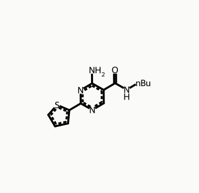 CCCCNC(=O)c1cnc(-c2cccs2)nc1N